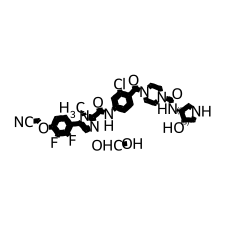 Cn1c(-c2ccc(OCC#N)c(F)c2F)cnc1C(=O)Nc1ccc(C(=O)N2CCN(C(=O)N[C@H]3CNC[C@@H]3O)CC2)c(Cl)c1.O=CO